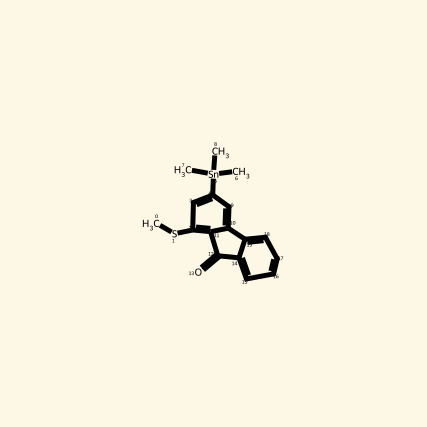 CSc1c[c]([Sn]([CH3])([CH3])[CH3])cc2c1C(=O)c1ccccc1-2